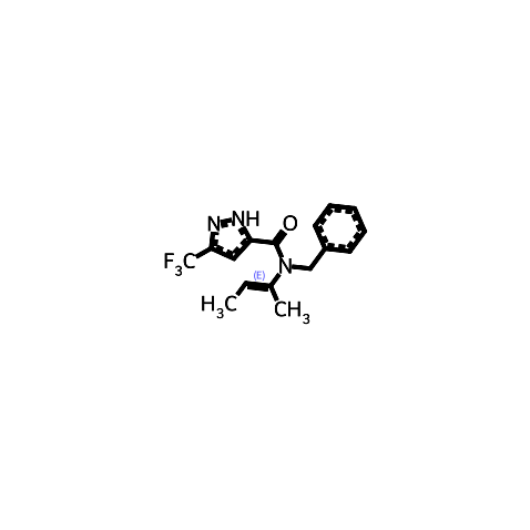 C/C=C(\C)N(Cc1ccccc1)C(=O)c1cc(C(F)(F)F)n[nH]1